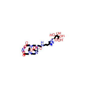 O=C(CN1CCN2CCN3CCN(CC1)CC(O)O[N@](OC(=O)C2)OC(=O)C3)NCCCc1cn(C[C@H]2OC(O)[C@H](O)[C@@H](O)[C@@H]2O)nn1